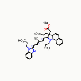 CCCCCCCCCCCCC1(CC(=O)OCCCC)C(/C=C/C(C#N)=C/C=C2\Nc3ccccc3N2CCC(=O)O)=[N+](CCC(=O)O)C2C3CC=CC=C3C=CC21